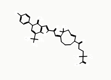 C=C1c2cc(C(=O)/C=C3/CCCC(C(=O)CCC(C)(C)C(=O)O)/C=C/CC3(C)C)oc2C(C(C)(C)C)=CC1c1ccc(Cl)cc1